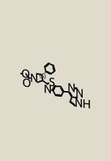 COC(=O)N1CC(c2nc3ccc(-c4ncnc5[nH]ccc45)cc3s2)[C@@H](c2ccccc2)C1